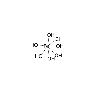 [OH][Fe]([OH])([OH])([OH])([OH])([OH])[Cl]